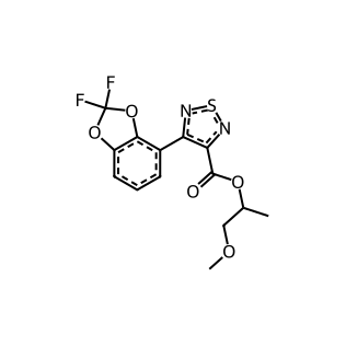 COCC(C)OC(=O)c1nsnc1-c1cccc2c1OC(F)(F)O2